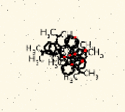 CC(C)c1cc(C(C)C)c(-c2ccccc2[PH](C2CCCCC2)=[Pd]([Cl])([c]2ccccc2-c2ccccc2N)=[PH](c2ccccc2-c2c(C(C)C)cc(C(C)C)cc2C(C)C)C2CCCCC2)c(C(C)C)c1